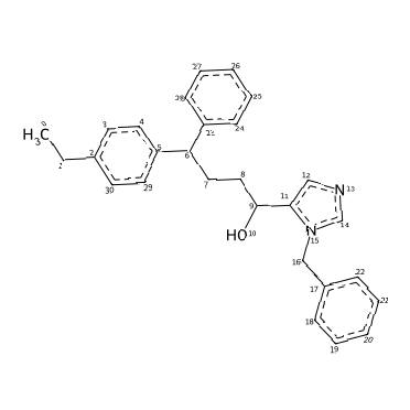 CCc1ccc(C(CCC(O)c2cncn2Cc2ccccc2)c2ccccc2)cc1